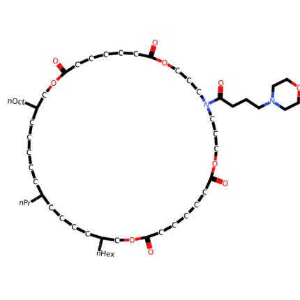 CCCCCCCCC1CCCCCC(CCC)CCCCC(CCCCCC)COC(=O)CCCCCC(=O)OCCCN(C(=O)CCCN2CCOCC2)CCCOC(=O)CCCCCC(=O)OC1